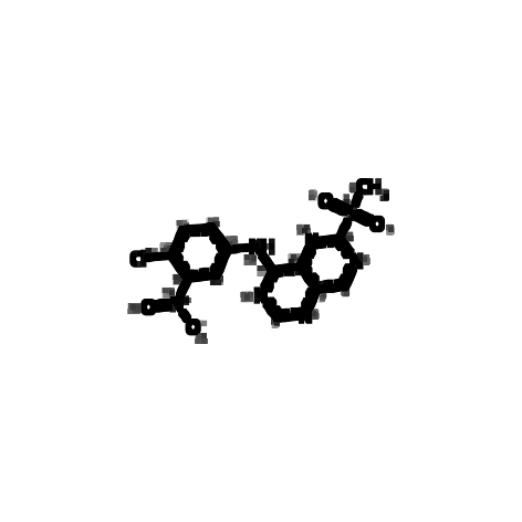 CS(=O)(=O)c1ncc2ncnc(Nc3ccc(Cl)c([N+](=O)[O-])c3)c2n1